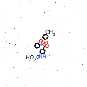 Cc1ccc(S(=O)(=O)N(C(=O)c2ccc(NC(=O)O)cc2)c2ccccc2)cc1